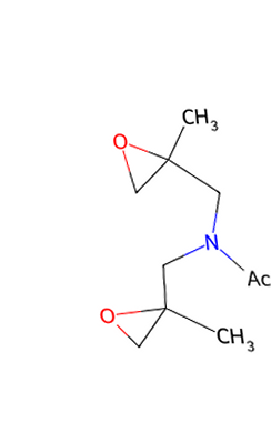 CC(=O)N(CC1(C)CO1)CC1(C)CO1